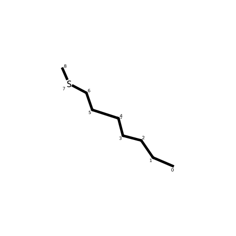 CCCC[CH]CCSC